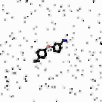 CCc1ccc(Oc2cccc(N)c2)cc1